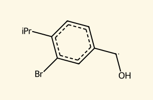 CC(C)c1ccc([CH]O)cc1Br